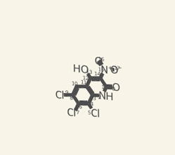 O=c1[nH]c2c(Cl)c(Cl)c(Cl)cc2c(O)c1[N+](=O)[O-]